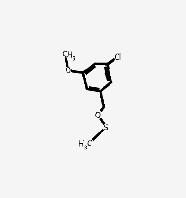 COc1cc(Cl)cc(COSC)c1